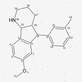 COc1ccc2c(c1)C(c1cccc(C)c1)C1CCCNC21